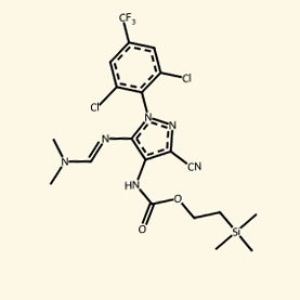 CN(C)C=Nc1c(NC(=O)OCC[Si](C)(C)C)c(C#N)nn1-c1c(Cl)cc(C(F)(F)F)cc1Cl